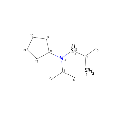 CC([SiH3])[SiH2]N(C(C)C)C1CCCC1